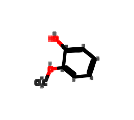 Oc1ccccc1OC(Cl)(Cl)Cl